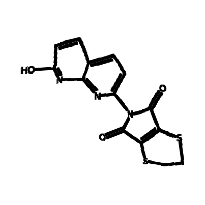 O=C1C2=C(SCCS2)C(=O)N1c1ccc2ccc(O)nc2n1